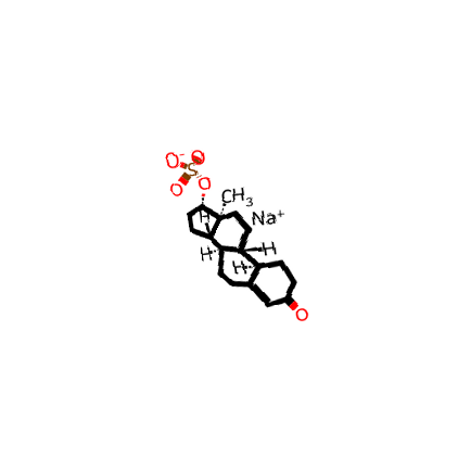 C[C@]12CC[C@H]3[C@@H](CCC4=CC(=O)CC[C@@H]43)[C@@H]1CC[C@@H]2OS(=O)(=O)[O-].[Na+]